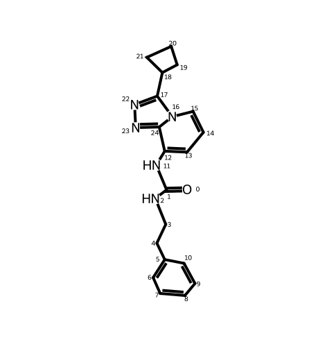 O=C(NCCc1ccccc1)Nc1cccn2c(C3CCC3)nnc12